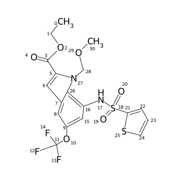 CCOC(=O)c1cc2cc(OC(F)(F)F)cc(NS(=O)(=O)c3cccs3)c2n1COC